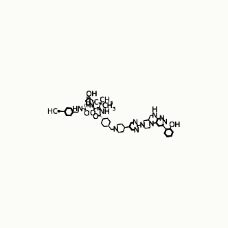 C#Cc1ccc(CNC(=O)[C@@H]2C[C@@H](O)CN2C(=O)[C@@H](NC(=O)[C@H]2CC[C@H](CN3CCC(c4cnc(N5CCN6c7cc(-c8ccccc8O)nnc7NCC6C5)nc4)CC3)CC2)C(C)(C)C)cc1